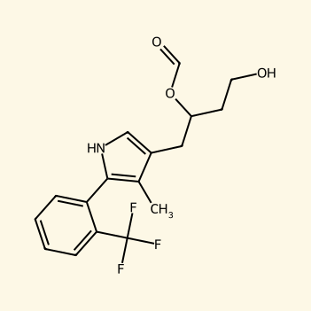 Cc1c(CC(CCO)OC=O)c[nH]c1-c1ccccc1C(F)(F)F